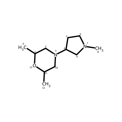 CC1CN(C2CCN(C)C2)CC(C)O1